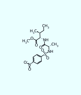 CC[C@H](C)[C@H](NC(=O)[C@H](C)NS(=O)(=O)c1ccc([N+](=O)[O-])cc1)C(=O)OC